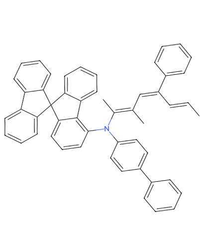 CC=C/C(=C\C(C)=C(/C)N(c1ccc(-c2ccccc2)cc1)c1cccc2c1-c1ccccc1C21c2ccccc2-c2ccccc21)c1ccccc1